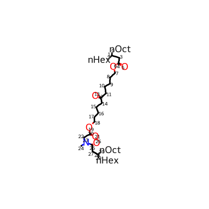 CCCCCCCCC(CCCCCC)CC(=O)OCCCCCC(=O)CCCCCOC(=O)CN(C)C(=O)CC(CCCCCC)CCCCCCCC